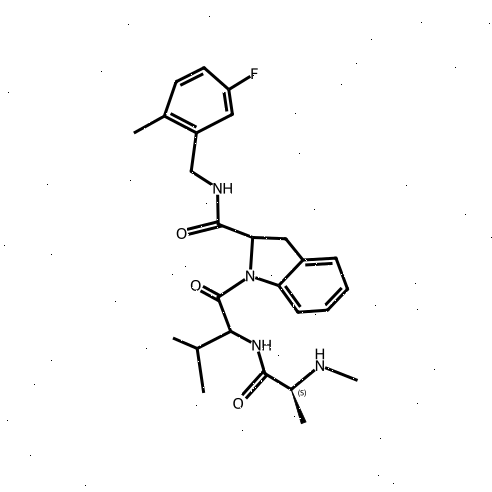 CN[C@@H](C)C(=O)NC(C(=O)N1c2ccccc2CC1C(=O)NCc1cc(F)ccc1C)C(C)C